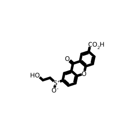 O=C(O)c1ccc2oc3ccc([S+]([O-])CCO)cc3c(=O)c2c1